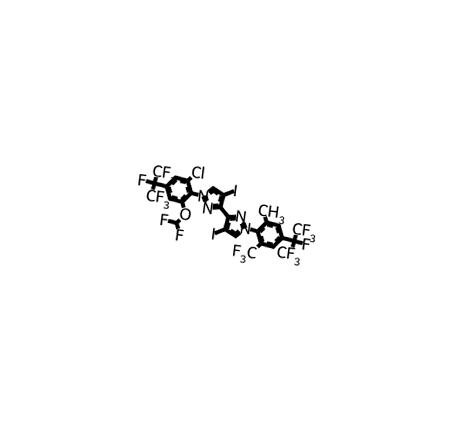 Cc1cc(C(F)(C(F)(F)F)C(F)(F)F)cc(C(F)(F)F)c1-n1cc(I)c(-c2nn(-c3c(Cl)cc(C(F)(C(F)(F)F)C(F)(F)F)cc3OC(F)F)cc2I)n1